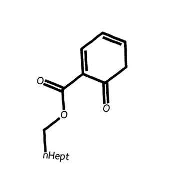 CCCCCCCCOC(=O)C1=CC=CCC1=O